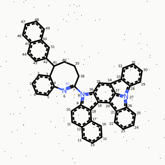 c1ccc2c(c1)/N=C(/n1c3ccc4ccccc4c3c3c4c5ccccc5n5c6ccccc6c(cc31)c45)CCCC2c1ccc2ccccc2c1